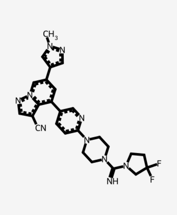 Cn1cc(-c2cc(-c3ccc(N4CCN(C(=N)N5CCC(F)(F)C5)CC4)nc3)c3c(C#N)cnn3c2)cn1